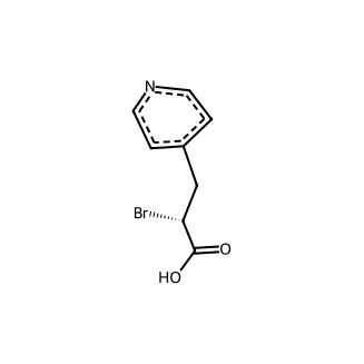 O=C(O)[C@H](Br)Cc1ccncc1